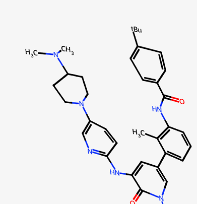 Cc1c(NC(=O)c2ccc(C(C)(C)C)cc2)cccc1-c1cc(Nc2ccc(N3CCC(N(C)C)CC3)cn2)c(=O)n(C)c1